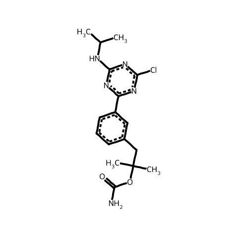 CC(C)Nc1nc(Cl)nc(-c2cccc(CC(C)(C)OC(N)=O)c2)n1